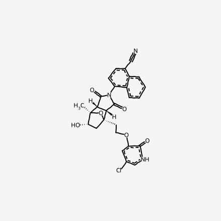 C[C@]12O[C@](CCOc3cc(Cl)c[nH]c3=O)(C[C@@H]1O)[C@H]1C(=O)N(c3ccc(C#N)c4ccccc34)C(=O)[C@H]12